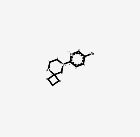 Brc1ccc(N2CCOC3(CCC3)C2)nc1